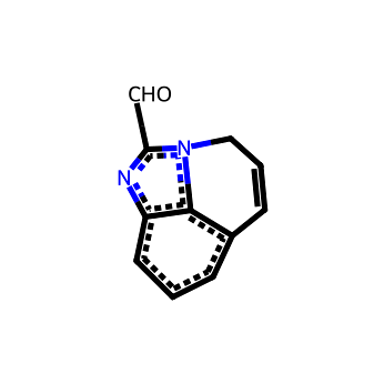 O=Cc1nc2cccc3c2n1CC=C3